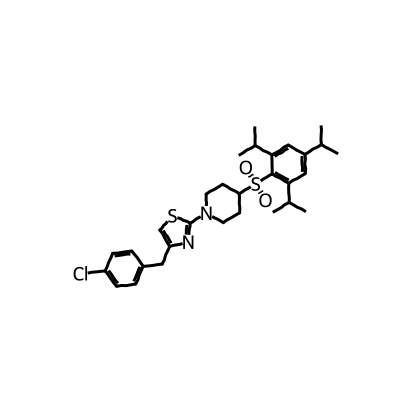 CC(C)c1cc(C(C)C)c(S(=O)(=O)C2CCN(c3nc(Cc4ccc(Cl)cc4)cs3)CC2)c(C(C)C)c1